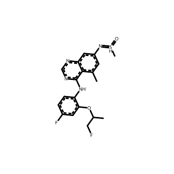 Cc1cc(/N=[SH](\C)=O)cc2ncnc(Nc3ccc(F)cc3OC(C)CF)c12